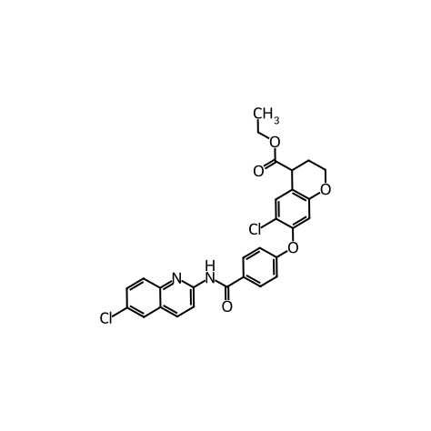 CCOC(=O)C1CCOc2cc(Oc3ccc(C(=O)Nc4ccc5cc(Cl)ccc5n4)cc3)c(Cl)cc21